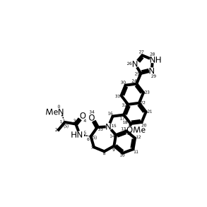 CN[C@@H](C)C(=O)N[C@H]1CCc2ccccc2N(Cc2c(OC)ccc3cc(-c4nc[nH]n4)ccc23)C1=O